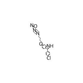 CN(C)C(=O)CN1CCN(CCCCCOc2ccc3c(-c4ccc(Cl)cc4)c[nH]c3c2)CC1